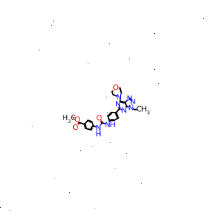 CCn1nnc2c(N3CCOCC3)nc(-c3ccc(NC(=O)Nc4ccc(C(=O)OC)cc4)cc3)nc21